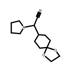 N#CC(C1CCC2(CC1)OCCO2)N1CCCC1